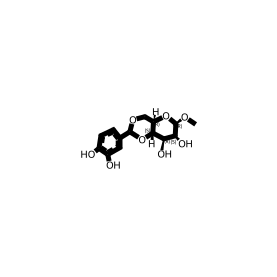 CO[C@@H]1O[C@@H]2COC(c3ccc(O)c(O)c3)O[C@H]2[C@H](O)[C@@H]1O